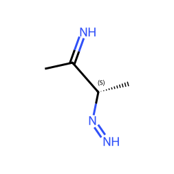 CC(=N)[C@H](C)N=N